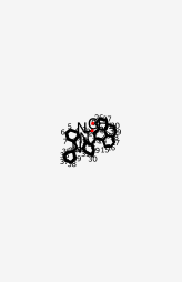 CCc1nc2cccc3c2n1-c1c(C2=C4C=CC=C5C=CC6=C(C(=C2)CC=C6)C54)cccc1N3c1ccccc1